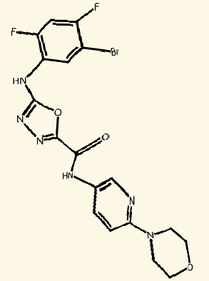 O=C(Nc1ccc(N2CCOCC2)nc1)c1nnc(Nc2cc(Br)c(F)cc2F)o1